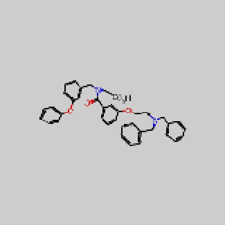 O=C(O)CN(Cc1cccc(Oc2ccccc2)c1)C(=O)c1cccc(OCCN(Cc2ccccc2)Cc2ccccc2)c1